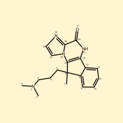 CN(C)CCCC1(C)c2ccccc2-c2[nH]c(=O)c3nccn3c21